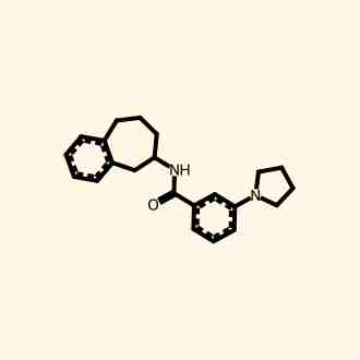 O=C(NC1CCCc2ccccc2C1)c1cccc(N2CCCC2)c1